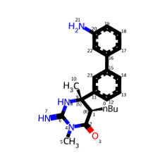 CCCC[C@H]1C(=O)N(C)C(=N)N[C@]1(C)c1cccc(-c2cccc(N)c2)c1